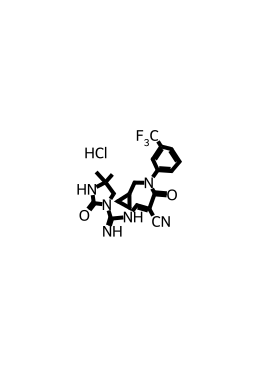 CC1(C)CN(C(=N)NC=C(C#N)C(=O)N(CC2CC2)c2cccc(C(F)(F)F)c2)C(=O)N1.Cl